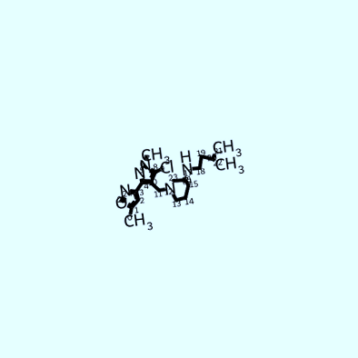 Cc1cc(-c2nn(C)c(Cl)c2CN2CCC[C@@H](NCCC(C)C)C2)no1